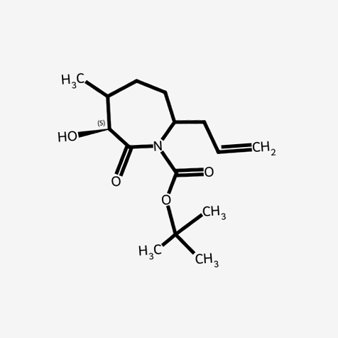 C=CCC1CCC(C)[C@H](O)C(=O)N1C(=O)OC(C)(C)C